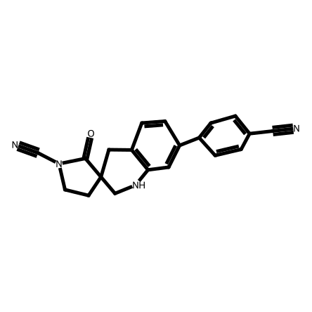 N#Cc1ccc(-c2ccc3c(c2)NCC2(CCN(C#N)C2=O)C3)cc1